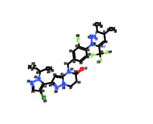 CCC(C)/C=C(\N(N)c1ccc(CN2C(=O)CCn3nc(-c4c(Cl)cnn4C(C)C)cc32)cc1F)C(F)(F)F